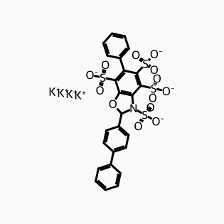 O=S(=O)([O-])c1c2c(c(S(=O)(=O)[O-])c(S(=O)(=O)[O-])c1-c1ccccc1)N(S(=O)(=O)[O-])C(c1ccc(-c3ccccc3)cc1)O2.[K+].[K+].[K+].[K+]